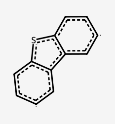 [c]1ccc2sc3cc[c]cc3c2c1